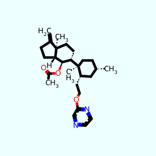 C=C1CC[C@H]2[C@H](OC(C)=O)[C@@H]([C@@]3(C)CC[C@H](C)C[C@@H]3CCOc3cnccn3)CC[C@]12C